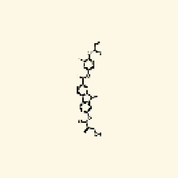 C=CC(=O)Oc1ccc(OC(=O)c2ccc3c(c2)C(C)c2cc(OC(=O)C(=C)CO)ccc2-3)cc1F